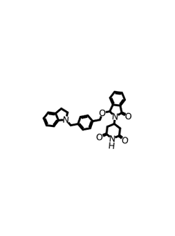 O=C1CC(N2C(=O)c3ccccc3C2OCc2ccc(CN3CCc4ccccc43)cc2)CC(=O)N1